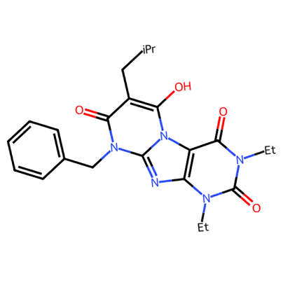 CCn1c(=O)c2c(nc3n(Cc4ccccc4)c(=O)c(CC(C)C)c(O)n23)n(CC)c1=O